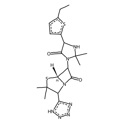 CCc1ccc(C2NC(C)(C)N(C3C(=O)N4C(c5nnn[nH]5)C(C)(C)S[C@H]34)C2=O)s1